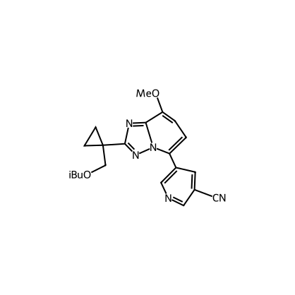 COc1ccc(-c2cncc(C#N)c2)n2nc(C3(COCC(C)C)CC3)nc12